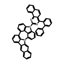 c1ccc(-c2ccccc2-c2nc(-n3c4cccc5c6cccc7c8cc9ccccc9cc8n(c8cccc3c8c54)c67)nc3c2ccc2ccccc23)cc1